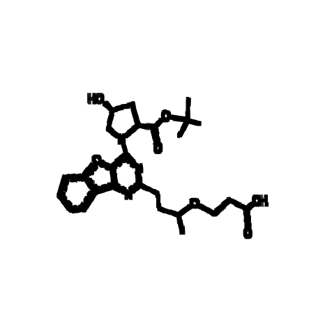 CC(CCc1nc(N2C[C@@H](O)C[C@H]2C(=O)OC(C)(C)C)c2oc3ccccc3c2n1)OCCC(=O)O